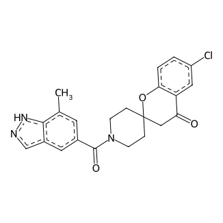 Cc1cc(C(=O)N2CCC3(CC2)CC(=O)c2cc(Cl)ccc2O3)cc2cn[nH]c12